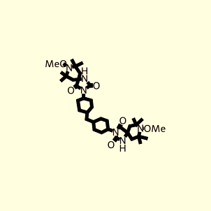 CON1C(C)(C)CC2(CC1(C)C)NC(=O)N(C1CCC(CC3CCC(N4C(=O)NC5(CC(C)(C)N(OC)C(C)(C)C5)C4=O)CC3)CC1)C2=O